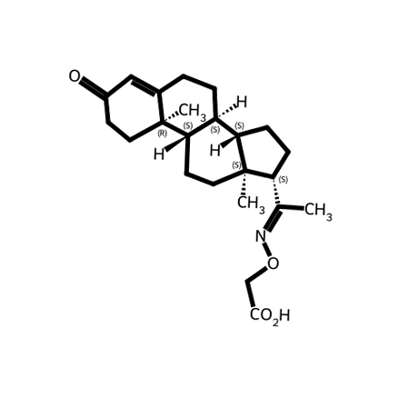 CC(=NOCC(=O)O)[C@H]1CC[C@H]2[C@@H]3CCC4=CC(=O)CC[C@]4(C)[C@H]3CC[C@]12C